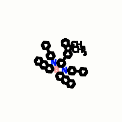 CC1(C)c2ccccc2-c2cc(-c3cc4c5c(c3)N(c3ccc(-c6ccccc6)cc3)c3c(ccc6cc7ccccc7cc36)B5c3ccc5cc6ccccc6cc5c3N4c3ccc(-c4ccccc4)cc3)ccc21